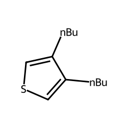 CCCCc1cscc1CCCC